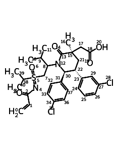 C=CC(=O)N=S(=O)(CC(C(C)C)N1C(=O)[C@@](C)(CC(=O)O)C[C@H](c2cccc(Cl)c2)[C@H]1c1ccc(Cl)cc1)C(C)C